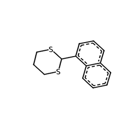 c1ccc2c(C3SCCCS3)cccc2c1